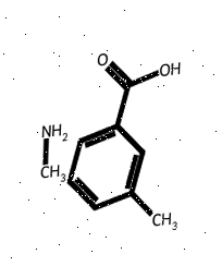 CN.Cc1cccc(C(=O)O)c1